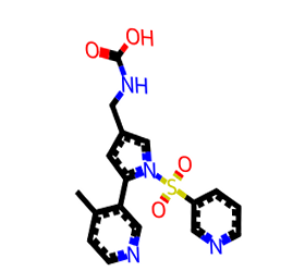 Cc1ccncc1-c1cc(CNC(=O)O)cn1S(=O)(=O)c1cccnc1